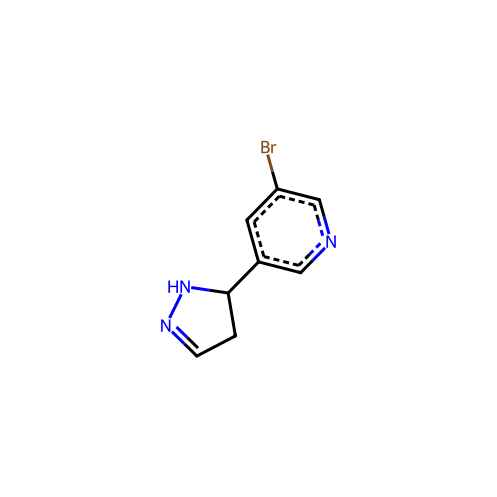 Brc1cncc(C2CC=NN2)c1